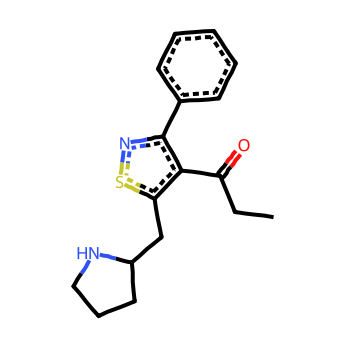 CCC(=O)c1c(-c2ccccc2)nsc1CC1CCCN1